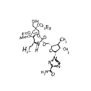 CCOC(=O)C(COC(C)=O)(COP(=O)(N[C@@H](C)C(=O)OC)OC[C@H]1O[C@@H](n2cnc(C(N)=O)n2)[C@@H](C)C1C)C(=O)OCC